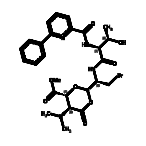 COC(=O)[C@@H]1OB([C@H](CC(C)C)NC(=O)[C@@H](NC(=O)c2cccc(-c3ccccc3)n2)[C@@H](C)O)OC(=O)[C@H]1N(C)C